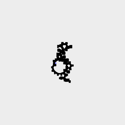 NC(=O)OC1CCCCC/C=C/C2CC2(C(=O)NS(=O)(=O)c2cc(Cl)ccc2F)NC(=O)C2CCCN2C1=O